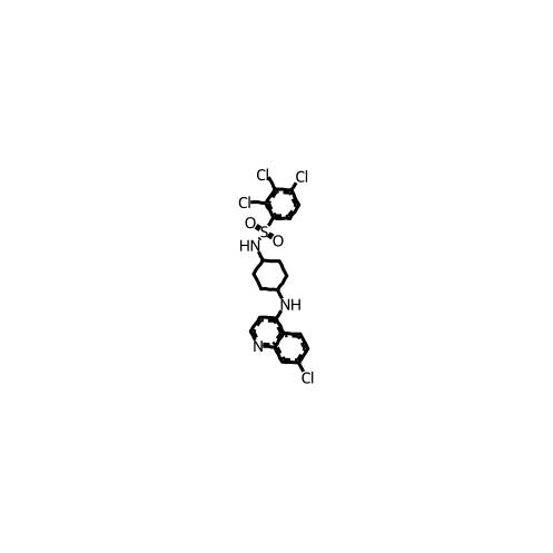 O=S(=O)(NC1CCC(Nc2ccnc3cc(Cl)ccc23)CC1)c1ccc(Cl)c(Cl)c1Cl